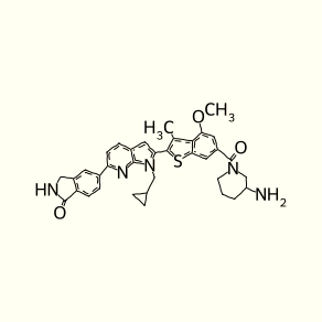 COc1cc(C(=O)N2CCCC(N)C2)cc2sc(-c3cc4ccc(-c5ccc6c(c5)CNC6=O)nc4n3CC3CC3)c(C)c12